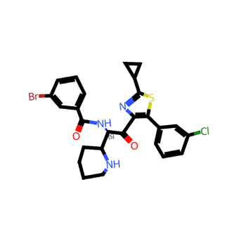 O=C(N[C@H](C(=O)c1nc(C2CC2)sc1-c1cccc(Cl)c1)C1CCCCN1)c1cccc(Br)c1